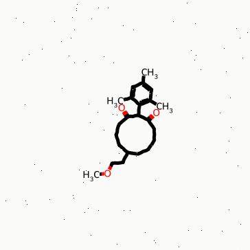 COCCC1CCCCC(=O)C(c2c(C)cc(C)cc2C)C(=O)CCC1